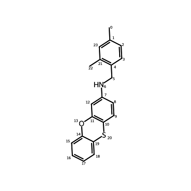 Cc1ccc(CNc2ccc3c(c2)Oc2ccccc2S3)c(C)c1